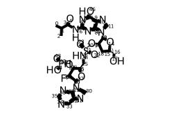 CC(C)C(=O)Nc1nc2c(ncn2[C@@H]2O[C@H](CO)C[C@H]2OS(=O)(=O)NC[C@H]2O[C@@H](n3cnc4cncnc43)[C@H](F)[C@@H]2O[PH](=O)O)c(=O)[nH]1